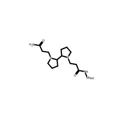 CCCCCNC(=O)CCN1CCCC1C1CCCN1CCC(N)=O